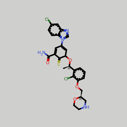 C[C@@H](OC1C=C(n2cnc3cc(Cl)ccc32)C=C(C(N)=O)C1=S)c1cccc(OC[C@H]2CNCCO2)c1Cl